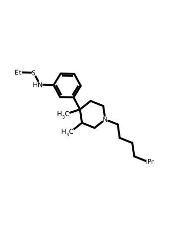 CCSNc1cccc(C2(C)CCN(CCCCC(C)C)CC2C)c1